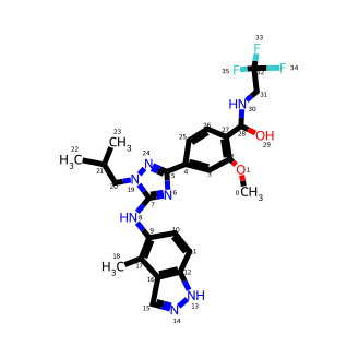 COc1cc(-c2nc(Nc3ccc4[nH]ncc4c3C)n(CC(C)C)n2)ccc1C(O)NCC(F)(F)F